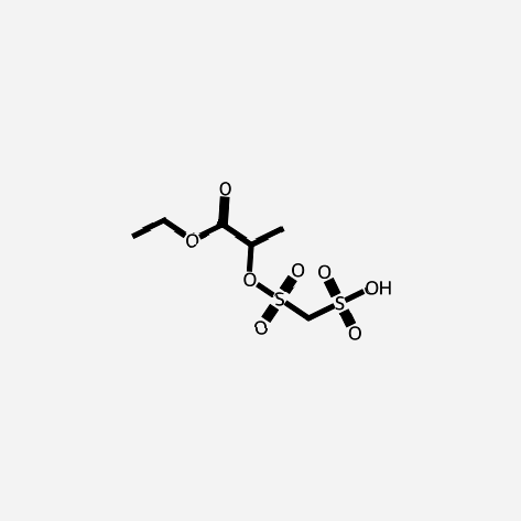 CCOC(=O)C(C)OS(=O)(=O)CS(=O)(=O)O